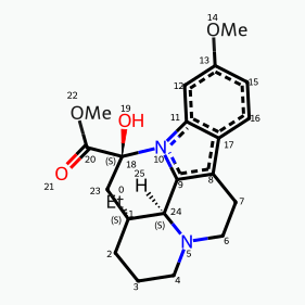 CC[C@]12CCCN3CCc4c(n(c5cc(OC)ccc45)[C@@](O)(C(=O)OC)C1)[C@@H]32